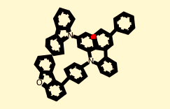 c1ccc(-c2cccc(-c3ccccc3N(c3ccc(-c4cccc5oc6ccccc6c45)cc3)c3cccc(-n4c5ccccc5c5ccccc54)c3)c2)cc1